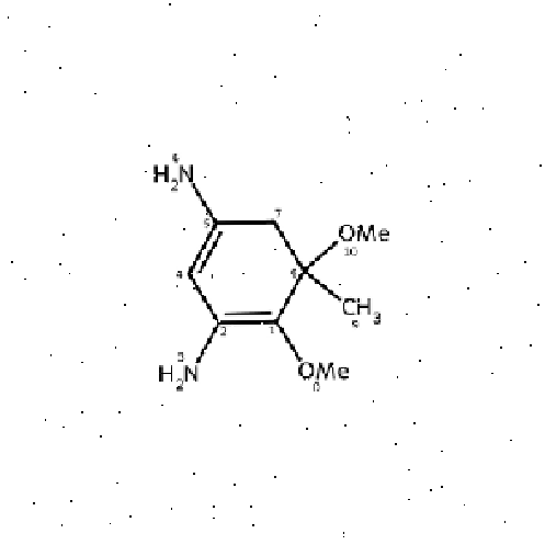 COC1=C(N)C=C(N)CC1(C)OC